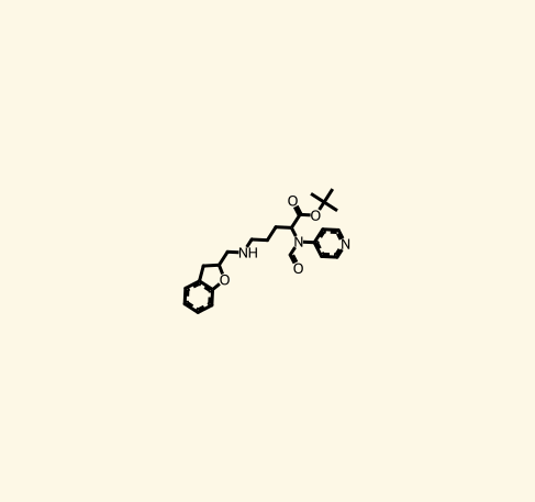 CC(C)(C)OC(=O)C(CCCNCC1Cc2ccccc2O1)N(C=O)c1ccncc1